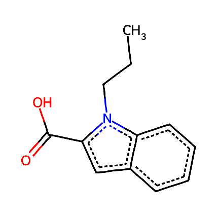 CCCn1c(C(=O)O)cc2ccccc21